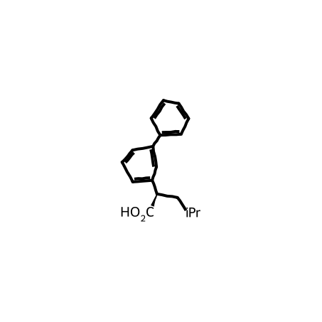 CC(C)C[C@@H](C(=O)O)c1cccc(-c2ccccc2)c1